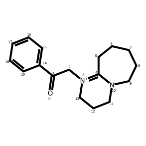 O=C(C[N+]1=C2CCCCCN2CCC1)c1ccccc1